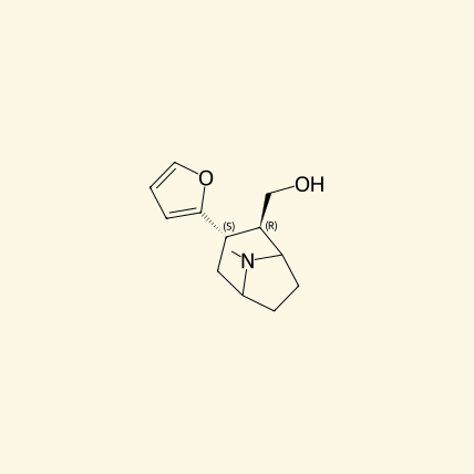 CN1C2CCC1[C@H](CO)[C@@H](c1ccco1)C2